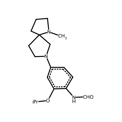 CC(C)Oc1cc(N2CCC3(CCCN3C)C2)ccc1NC=O